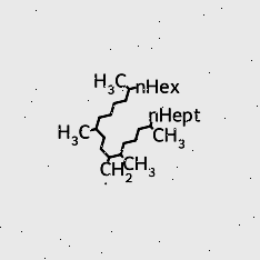 [CH2]C(CCC(C)CCCCC(C)CCCCCC)C(C)CCCC(C)CCCCCCC